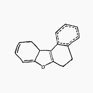 C1=CCC2C(=C1)OC1=C2c2ccccc2CC1